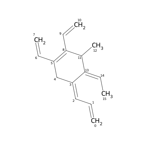 C=C/C=C1/CC(C=C)=C(C=C)C(C)/C1=C/C